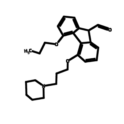 CCCOc1cccc2c1-c1c(OCCCN3CCCCC3)cccc1C2C=O